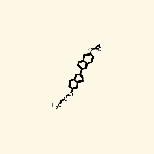 C=COCOc1ccc2cc(-c3ccc4cc(OC5CO5)ccc4c3)ccc2c1